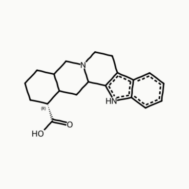 O=C(O)[C@@H]1CCCC2CN3CCc4c([nH]c5ccccc45)C3CC21